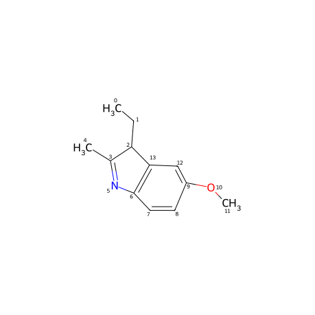 CCC1C(C)=Nc2ccc(OC)cc21